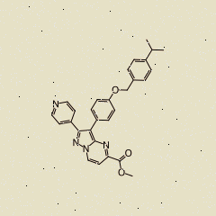 COC(=O)c1ccn2nc(-c3ccncc3)c(-c3ccc(OCc4ccc(C(C)C)cc4)cc3)c2n1